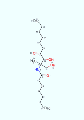 CCCCCCCCCCCCCCCC(=O)NC(C)(CO)C(O)C(=O)CCCCCCCCCCCCCCC